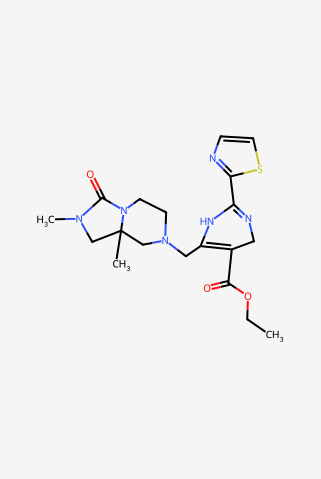 CCOC(=O)C1=C(CN2CCN3C(=O)N(C)CC3(C)C2)NC(c2nccs2)=NC1